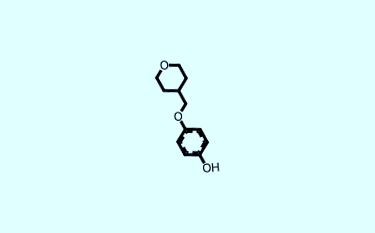 Oc1ccc(OCC2CCOCC2)cc1